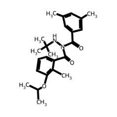 Cc1cc(C)cc(C(=O)N(NC(C)(C)C)C(=O)c2cccc(OC(C)C)c2C)c1